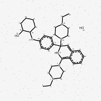 CCN1CCN(C2=c3ccccc3=CC(c3ccc(OC4CCCCC4O)cc3)(N3CCN(CC)CC3)N2)CC1.Cl